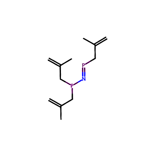 C=C(C)CP=NP(CC(=C)C)CC(=C)C